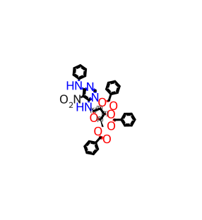 O=C(OC[C@H]1O[C@H](Nc2ncnc(Nc3ccccc3)c2[N+](=O)[O-])[C@H](OC(=O)c2ccccc2)[C@@H]1OC(=O)c1ccccc1)c1ccccc1